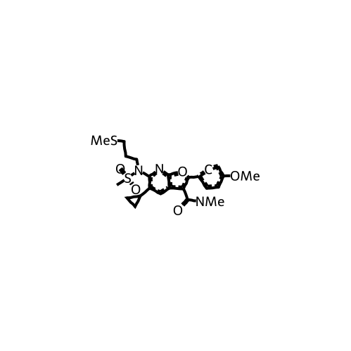 CNC(=O)c1c(-c2ccc(OC)cc2)oc2nc(N(CCCSC)S(C)(=O)=O)c(C3CC3)cc12